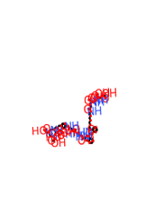 O=C(O)CCC(NC(=O)NC(CCC(=O)NCCCCCCCC(=O)N[C@@H](Cc1ccccc1)C(=O)N[C@@H](Cc1ccccc1)C(=O)NCCNC(=O)CCC(=O)Nc1ccc(CC(CN2CCN(CC(=O)O)CCN(CC(=O)O)CC2)N(CC(=O)O)CC(=O)O)cc1)C(=O)O)C(=O)O